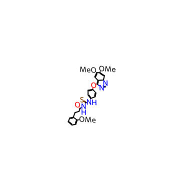 COc1ccccc1CCC(=O)NC(=S)Nc1ccc(Oc2ncnc3cc(OC)c(OC)cc23)cc1